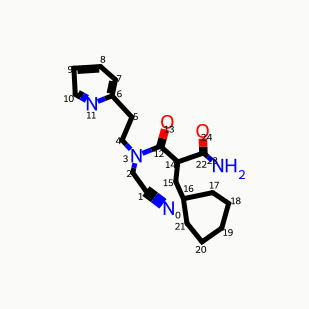 N#CCN(CCc1ccccn1)C(=O)C(CC1CCCCC1)C(N)=O